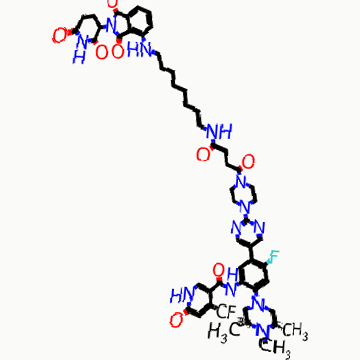 C[C@@H]1CN(c2cc(F)c(-c3cnc(N4CCN(C(=O)CCC(=O)NCCCCCCCCNc5cccc6c5C(=O)N(C5CCC(=O)NC5=O)C6=O)CC4)nc3)cc2NC(=O)c2c[nH]c(=O)cc2C(F)(F)F)C[C@H](C)N1C